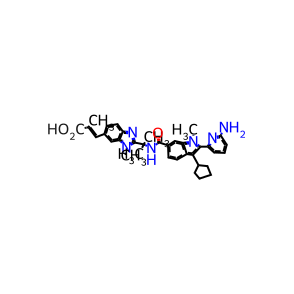 C/C(=C\c1ccc2nc(C(C)(C)NC(=O)c3ccc4c(C5CCCC5)c(-c5cccc(N)n5)n(C)c4c3)n(C)c2c1)C(=O)O